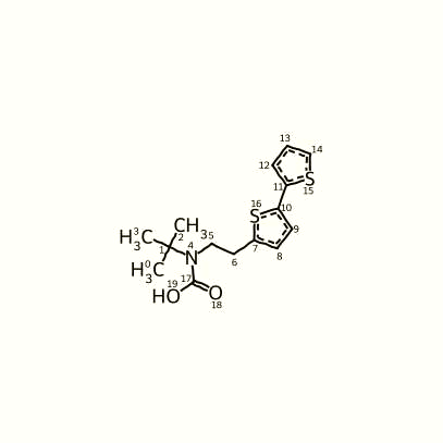 CC(C)(C)N(CCc1ccc(-c2cccs2)s1)C(=O)O